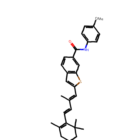 COc1ccc(NC(=O)c2ccc3cc(/C=C(\C)C=CC4=C(C)CCCC4(C)C)sc3c2)cc1